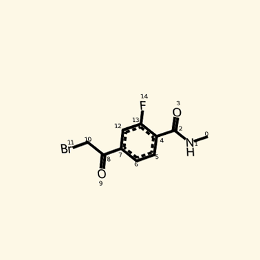 CNC(=O)c1ccc(C(=O)CBr)cc1F